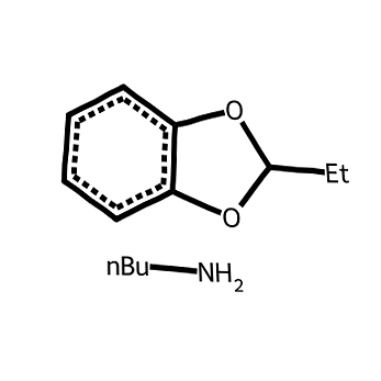 CCC1Oc2ccccc2O1.CCCCN